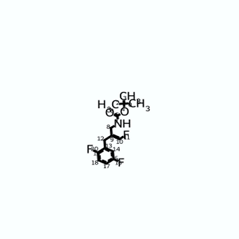 CC(C)(C)OC(=O)NCC(=CF)Cc1cc(F)ccc1F